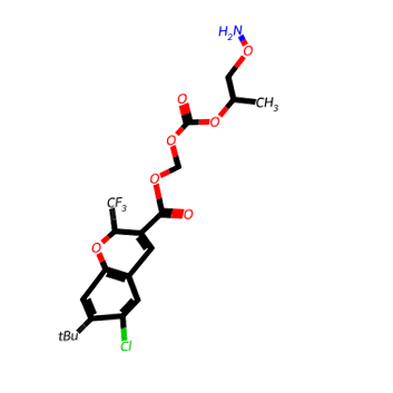 CC(CON)OC(=O)OCOC(=O)C1=Cc2cc(Cl)c(C(C)(C)C)cc2OC1C(F)(F)F